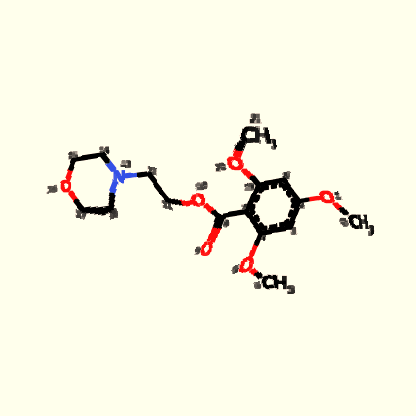 COc1cc(OC)c(C(=O)OCCN2CCOCC2)c(OC)c1